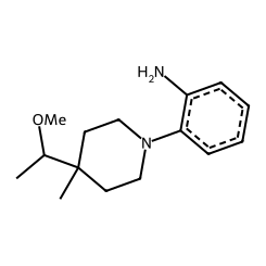 COC(C)C1(C)CCN(c2ccccc2N)CC1